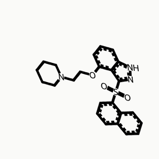 O=S(=O)(c1cccc2ccccc12)c1n[nH]c2cccc(OCCN3CCCCC3)c12